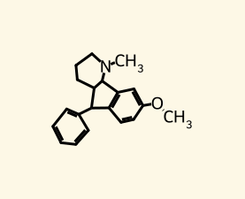 COc1ccc2c(c1)C1C(CCCN1C)C2c1ccccc1